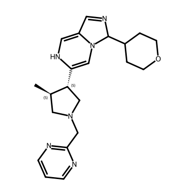 C[C@@H]1CN(Cc2ncccn2)C[C@H]1C1=CN2C(=CN1)C=NC2C1CCOCC1